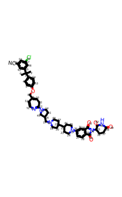 CC(C)(c1ccc(OCC2=CCC(N3CCC(CN4CCC(C5CCN(c6ccc7c(c6)C(=O)N(C6CCC(=O)NC6=O)C7=O)CC5)CC4)C3)=NC=C2)cc1)c1cc(Cl)cc(C#N)c1